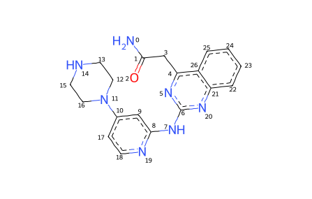 NC(=O)Cc1nc(Nc2cc(N3CCNCC3)ccn2)nc2ccccc12